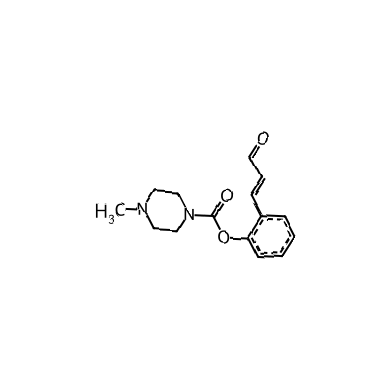 CN1CCN(C(=O)Oc2ccccc2/C=C/C=O)CC1